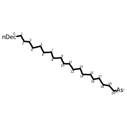 CCCCCCCCCCCCCCCCCCCCCCCCCCCCCC[As]